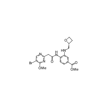 COC(=O)c1ccc(NC(=O)Cc2ncc(Br)c(OC)n2)c(NC[C@@H]2CCO2)c1